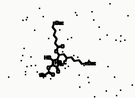 CCCCCCCCCCCCCCCC(=O)O[C@@H](CC(CCCCCCCCCCCCCC)C(=O)O)[C@H]1OC(=O)C(OC(=O)C(C)(C)C)=C1O